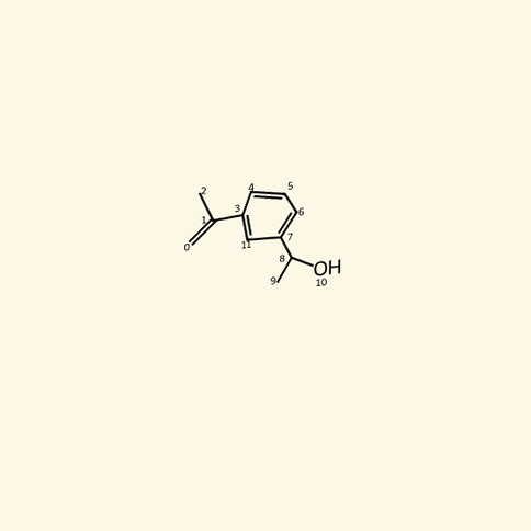 C=C(C)c1cccc(C(C)O)c1